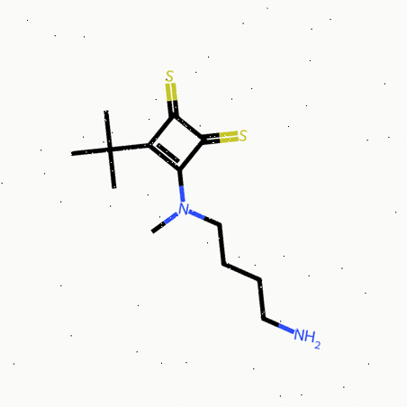 CN(CCCCN)c1c(C(C)(C)C)c(=S)c1=S